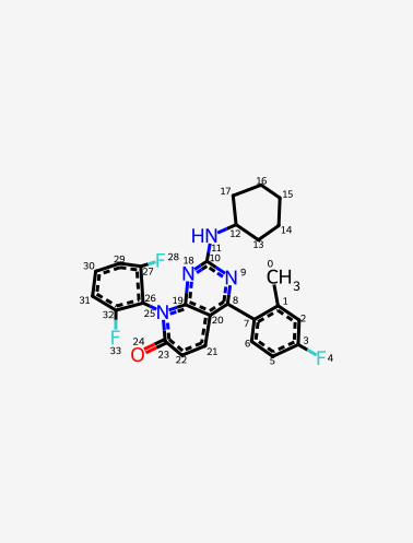 Cc1cc(F)ccc1-c1nc(NC2CCCCC2)nc2c1ccc(=O)n2-c1c(F)cccc1F